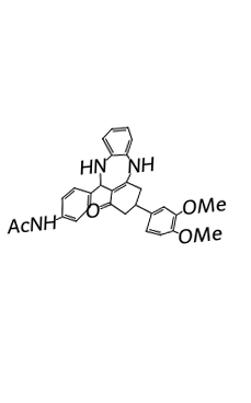 COc1ccc(C2CC(=O)C3=C(C2)Nc2ccccc2NC3c2ccc(NC(C)=O)cc2)cc1OC